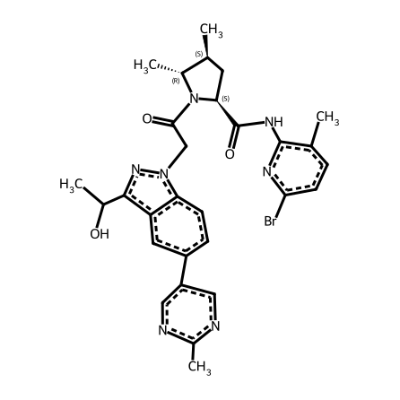 Cc1ncc(-c2ccc3c(c2)c(C(C)O)nn3CC(=O)N2[C@H](C)[C@@H](C)C[C@H]2C(=O)Nc2nc(Br)ccc2C)cn1